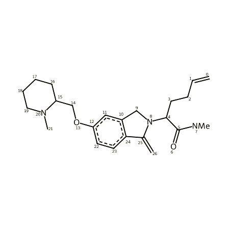 C=CCCC(C(=O)NC)N1Cc2cc(OCC3CCCCN3C)ccc2C1=C